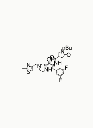 CCCCN1CC(C(=O)N[C@@H](Cc2cc(F)cc(F)c2)[C@H](O)[C@H]2CN(Cc3csc(C)n3)CCN2)CC1=O